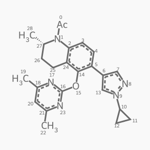 CC(=O)N1c2ccc(-c3cnn(C4CC4)c3)c(Oc3nc(C)cc(C)n3)c2CC[C@@H]1C